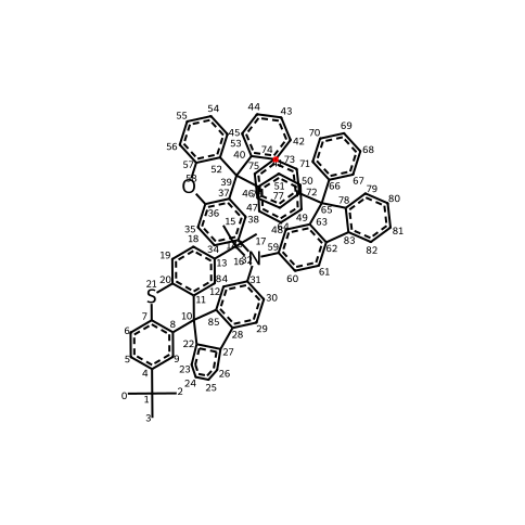 CC(C)(C)c1ccc2c(c1)C1(c3cc(C(C)(C)C)ccc3S2)c2ccccc2-c2ccc(N(c3ccc4c(c3)C(c3ccccc3)(c3ccccc3)c3ccccc3O4)c3ccc4c(c3)C(c3ccccc3)(c3ccccc3)c3ccccc3-4)cc21